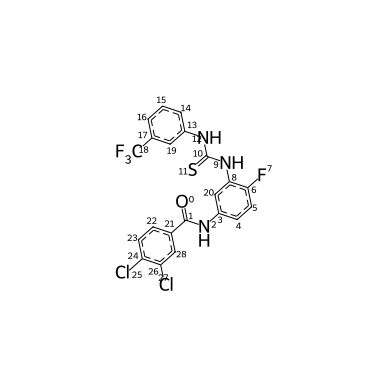 O=C(Nc1ccc(F)c(NC(=S)Nc2cccc(C(F)(F)F)c2)c1)c1ccc(Cl)c(Cl)c1